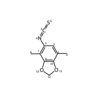 Cc1cc(N=C=S)c(C)c2c1OCO2